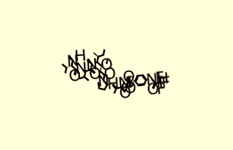 CC[C@H](C)[C@@H]([C@H](CC(=O)N1CCC[C@H]1C=C(C)C(=O)NS(=O)(=O)c1ccc(NC(=O)C(F)(F)F)cc1)OC)N(C)C(=O)[C@@H](NC(=O)[C@H](C(C)C)N(C)C)C(C)C